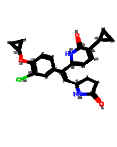 O=C1CC[C@H](C=C(c2ccc(OC3CC3)c(Cl)c2)c2ccc(C3CC3)c(=O)[nH]2)N1